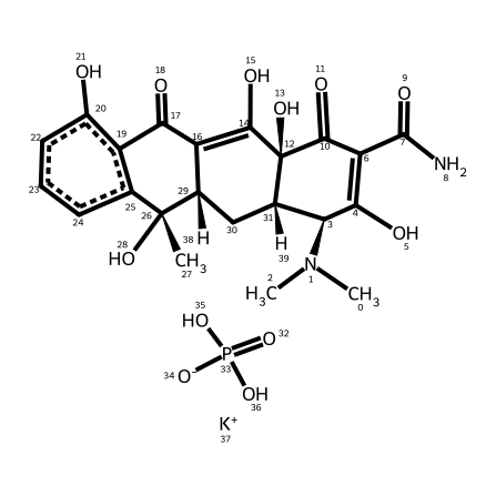 CN(C)[C@@H]1C(O)=C(C(N)=O)C(=O)[C@@]2(O)C(O)=C3C(=O)c4c(O)cccc4[C@@](C)(O)[C@H]3C[C@@H]12.O=P([O-])(O)O.[K+]